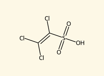 O=S(=O)(O)C(Cl)=C(Cl)Cl